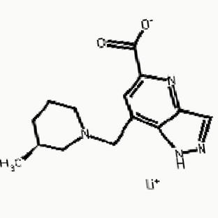 C[C@H]1CCCN(Cc2cc(C(=O)[O-])nc3cn[nH]c23)C1.[Li+]